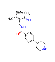 CN/C(C)=C(/CNC(=O)c1ccc(C2CCNCC2)cc1)C(C)=N